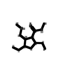 CCC1CC(CC)C(C(=O)OC)C1COC